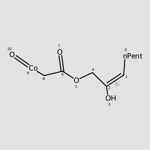 CCCCC/C=C(/O)COC(=O)[CH2][Co]=[O]